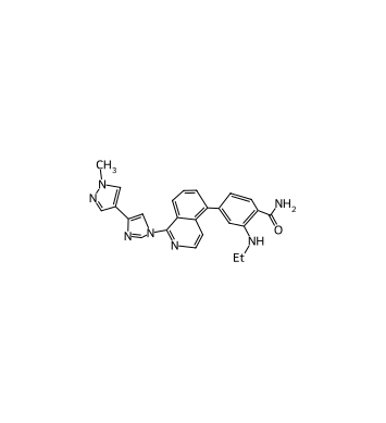 CCNc1cc(-c2cccc3c(-n4cnc(-c5cnn(C)c5)c4)nccc23)ccc1C(N)=O